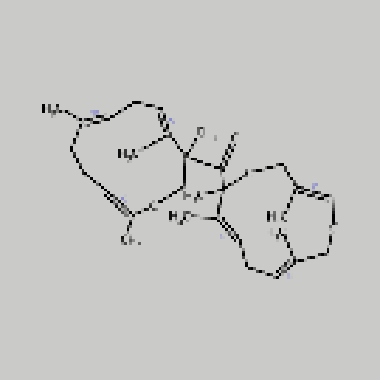 C/C1=C\C/C=C(\C)C(C)(C(=O)C2(C)CC/C(C)=C/CC/C(C)=C/C/C=C/2C)CC/C(C)=C/CC1